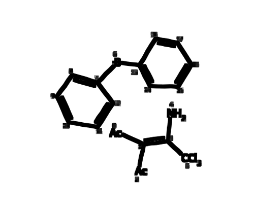 CC(=O)C(C(C)=O)=C(N)C(Cl)(Cl)Cl.[B](c1ccccc1)c1ccccc1